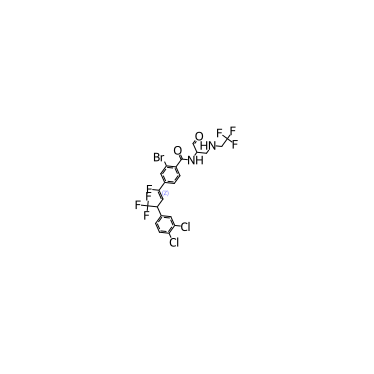 O=CC(CNCC(F)(F)F)NC(=O)c1ccc(/C(F)=C/C(c2ccc(Cl)c(Cl)c2)C(F)(F)F)cc1Br